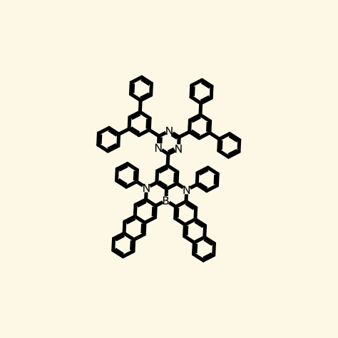 c1ccc(-c2cc(-c3ccccc3)cc(-c3nc(-c4cc(-c5ccccc5)cc(-c5ccccc5)c4)nc(-c4cc5c6c(c4)N(c4ccccc4)c4cc7cc8ccccc8cc7cc4B6c4cc6cc7ccccc7cc6cc4N5c4ccccc4)n3)c2)cc1